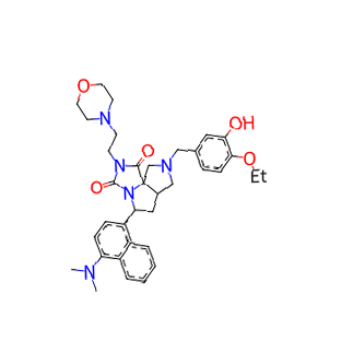 CCOc1ccc(CN2CC3CC(c4ccc(N(C)C)c5ccccc45)N4C(=O)N(CCN5CCOCC5)C(=O)C34C2)cc1O